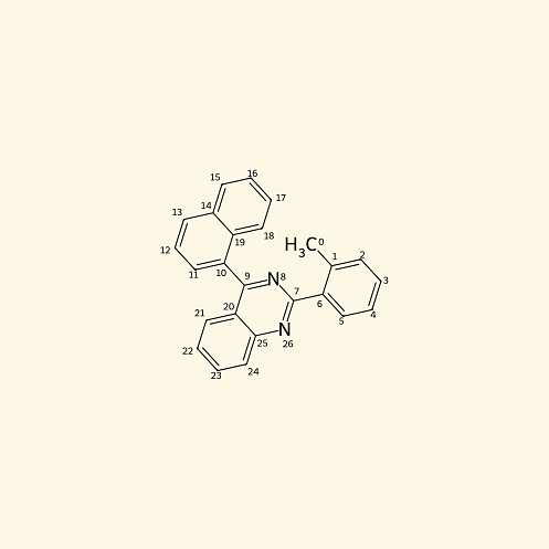 Cc1ccccc1-c1nc(-c2cccc3ccccc23)c2ccccc2n1